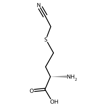 N#CCSCC[C@H](N)C(=O)O